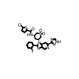 O=C(N[C@H]1C[C@@H](n2c(-c3ccccc3F)nc3cnc(-c4nc[nH]n4)cc32)CS(=O)(=O)C1)c1ccc(Cl)s1